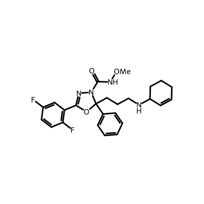 CONC(=O)N1N=C(c2cc(F)ccc2F)OC1(CCCNC1C=CCCC1)c1ccccc1